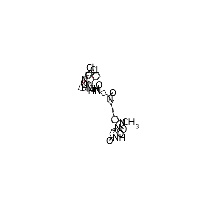 Cn1c(=O)n([C@@H]2CCC(=O)NC2=O)c2ccc(C#CC3CN(C(=O)C4CC(NC(=O)[C@@H]5NC6(CCCCC6)[C@@]6(C(=O)Nc7cc(Cl)ccc76)[C@H]5c5cccc(Cl)c5F)C4)C3)cc21